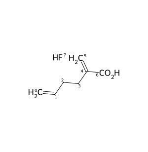 C=CCCC(=C)C(=O)O.F